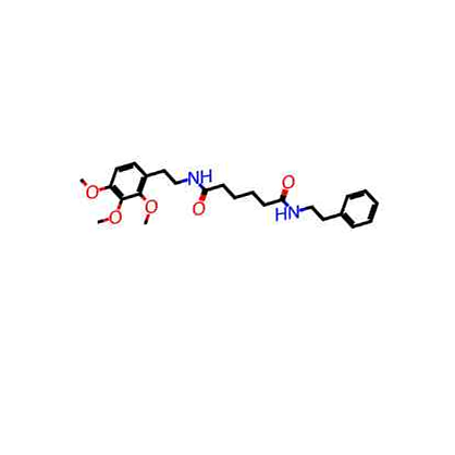 COc1ccc(CCNC(=O)CCCCC(=O)NCCc2ccccc2)c(OC)c1OC